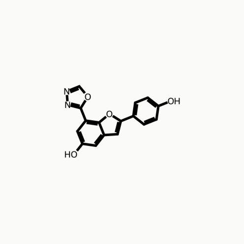 Oc1ccc(-c2cc3cc(O)cc(-c4nnco4)c3o2)cc1